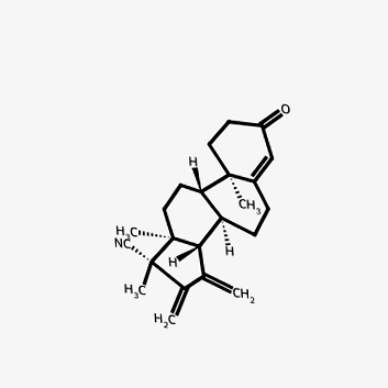 C=C1C(=C)[C@](C)(C#N)[C@@]2(C)CC[C@H]3[C@@H](CCC4=CC(=O)CC[C@@]43C)[C@H]12